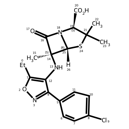 CCc1onc(-c2ccc(Cl)cc2)c1N[C@@]1(C)C(=O)N2[C@@H](C(=O)O)C(C)(C)S[C@@H]21